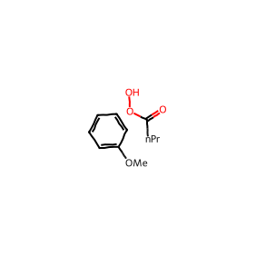 CCCC(=O)OO.COc1ccccc1